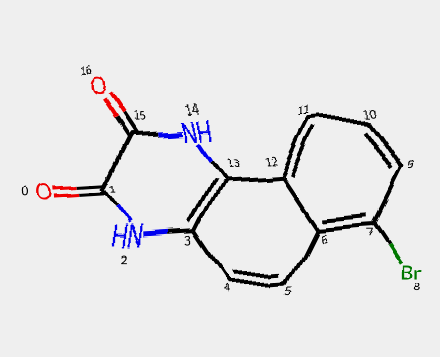 O=c1[nH]c2ccc3c(Br)cccc3c2[nH]c1=O